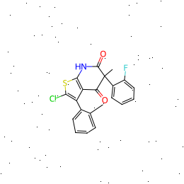 Cc1ccccc1-c1c(Cl)sc2c1C(=O)C(C)(c1ccccc1F)C(=O)N2